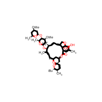 CC[C@@H](C)[C@H]1O[C@]2(C=C[C@@H]1C)C[C@@H]1C[C@@H](C/C=C(\C)[C@@H](O[C@H]3C[C@H](OC)[C@@H](O[C@H]4C[C@H](OC)C[C@H](C)O4)[C@H](C)O3)[C@@H](C)/C=C/C=C3\CO[C@@H]4[C@H](O)C(C)=C[C@@H](C(=O)O1)[C@]34O)O2